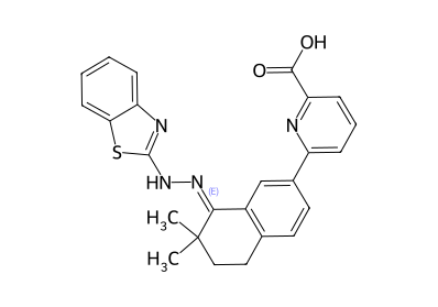 CC1(C)CCc2ccc(-c3cccc(C(=O)O)n3)cc2/C1=N/Nc1nc2ccccc2s1